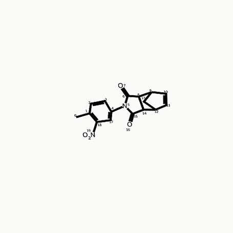 Cc1ccc(N2C(=O)C3C4C=CC(C4)C3C2=O)cc1[N+](=O)[O-]